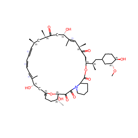 CO[C@@H]1CC(C[C@@H](C)[C@@H]2CC(=O)[C@H](C)/C=C(\C)[C@@H](O)CC(=O)[C@H](C)C[C@H](C)/C=C/C=C/C=C(\C)[C@@H](O)C[C@@H]3CC[C@@H](C)[C@@](O)(O3)C(=O)C(=O)N3CCCCC3C(=O)O2)CC[C@H]1O